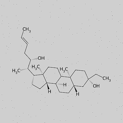 C/C=C/C[C@H](O)[C@@H](C)[C@H]1CC[C@H]2[C@@H]3CC[C@H]4C[C@](O)(CC)CC[C@]4(C)C3CC[C@]12C